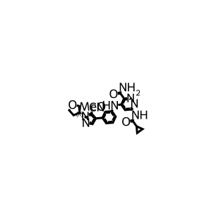 COc1c(Nc2cc(NC(=O)C3CC3)nnc2C(N)=O)cccc1-c1cnn([C@@H]2CCOC2)c1C#N